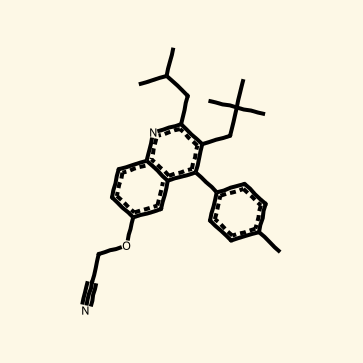 Cc1ccc(-c2c(CC(C)(C)C)c(CC(C)C)nc3ccc(OCC#N)cc23)cc1